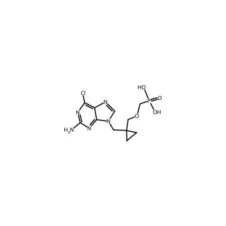 Nc1nc(Cl)c2ncn(CC3(COCP(=O)(O)O)CC3)c2n1